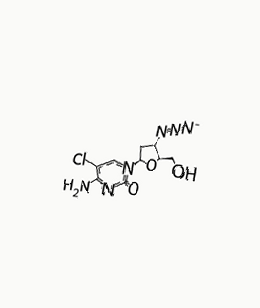 [N-]=[N+]=NC1C[C@H](n2cc(Cl)c(N)nc2=O)O[C@@H]1CO